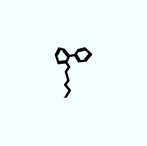 [CH2]CCCCCc1ccccc1-c1ccccc1